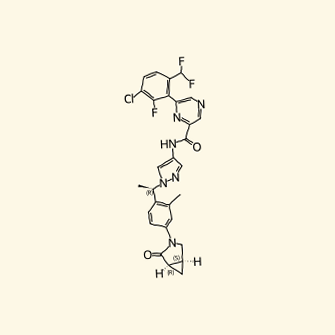 Cc1cc(N2C[C@H]3C[C@H]3C2=O)ccc1[C@@H](C)n1cc(NC(=O)c2cncc(-c3c(C(F)F)ccc(Cl)c3F)n2)cn1